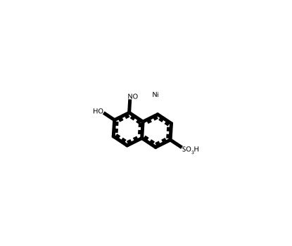 O=Nc1c(O)ccc2cc(S(=O)(=O)O)ccc12.[Ni]